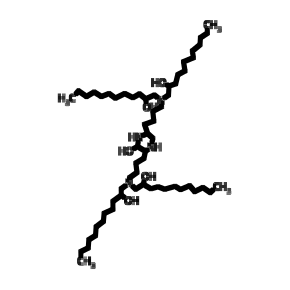 CCCCCCCCCCC(O)CN(CCCCC1CNC(CCCCN(CC(O)CCCCCCCCCC)CC(O)CCCCCCCCCC)C(O)N1)CC(O)CCCCCCCCCC